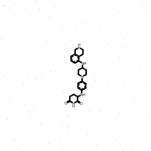 O=C1CCC(Nc2ccc(N3CCC(Nc4cccc5c4CCNC5)CC3)cc2)C(=O)N1